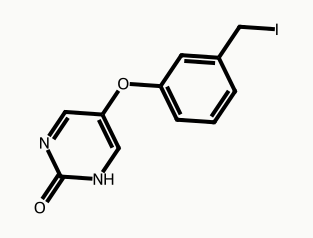 O=c1ncc(Oc2cccc(CI)c2)c[nH]1